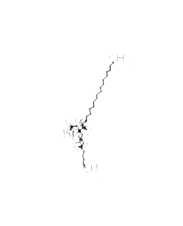 CCCCCCCCCCCCCCCCCCOC(=O)C(O)(CC(=O)O)CC(=O)OC(=O)CCCCC